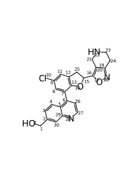 OCc1ccc2c(-c3cc(Cl)cc4c3OC(c3onc5c3CNCC5)C4)ccnc2c1